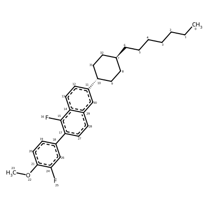 CCCCCCC[C@H]1CC[C@H](c2ccc3c(F)c(-c4ccc(OC)c(F)c4)ccc3c2)CC1